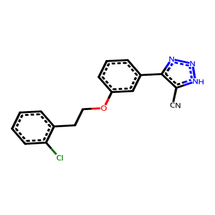 N#Cc1[nH]nnc1-c1cccc(OCCc2ccccc2Cl)c1